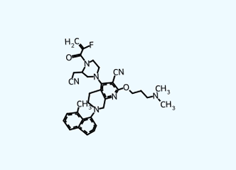 C=C(F)C(=O)N1CCN(c2c(C#N)c(OCCCN(C)C)nc3c2CCN(c2cccc4cccc(C)c24)C3)CC1CC#N